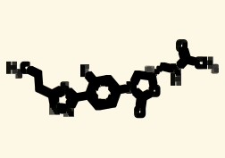 CCCc1nnc(-c2ccc(N3C[C@H](CNC(C)=O)OC3=O)cc2F)s1